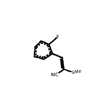 CS/C(C#N)=C/c1ccccc1F